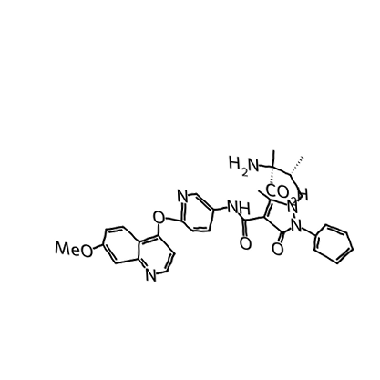 COc1ccc2c(Oc3ccc(NC(=O)c4c(C)n(C[C@@H](C)[C@](C)(N)C(=O)O)n(-c5ccccc5)c4=O)cn3)ccnc2c1